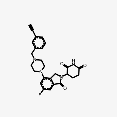 C#Cc1cccc(CN2CCN(c3cc(F)cc4c3CN(C3CCC(=O)NC3=O)C4=O)CC2)c1